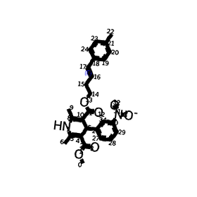 COC(=O)C1=C(C)NC(C)=C(C(=O)OCC/C=C/c2ccc(C)cc2)C1c1cccc([N+](=O)[O-])c1